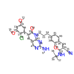 CNc1ncc2cc(-c3cc(OC)cc(OC)c3Cl)c(=O)n(CCCc3ccc(C=C(C#N)C(=O)NC(C)(C)C)cc3)c2n1